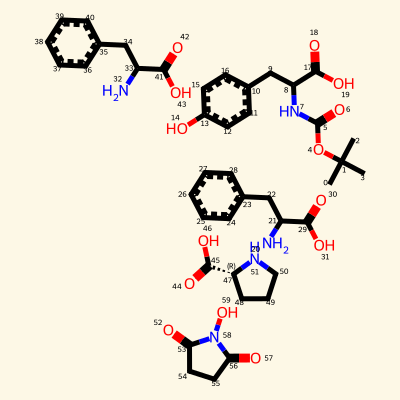 CC(C)(C)OC(=O)NC(Cc1ccc(O)cc1)C(=O)O.NC(Cc1ccccc1)C(=O)O.NC(Cc1ccccc1)C(=O)O.O=C(O)[C@H]1CCCN1.O=C1CCC(=O)N1O